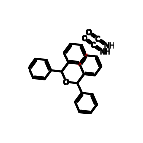 N=C=O.N=C=O.c1ccc(C(OC(c2ccccc2)c2ccccc2)c2ccccc2)cc1